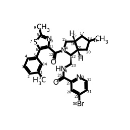 Cc1cccc(-c2sc(C)nc2C(=O)N2C[C@@H]3CC(C)C[C@@H]3[C@H]2CNC(=O)c2cc(Br)ccn2)c1